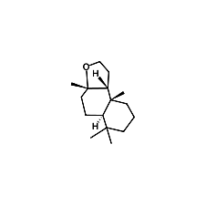 CC1(C)CCC[C@]2(C)[C@@H]1CC[C@]1(C)OCC[C@H]21